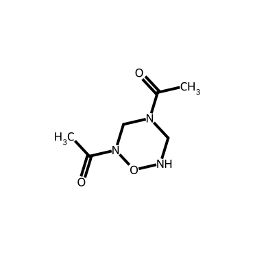 CC(=O)N1CNON(C(C)=O)C1